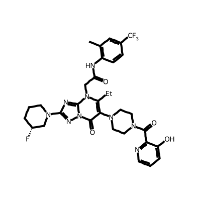 CCc1c(N2CCN(C(=O)c3ncccc3O)CC2)c(=O)n2nc(N3CCC[C@@H](F)C3)nc2n1CC(=O)Nc1ccc(C(F)(F)F)cc1C